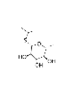 CC(C)S[C@@H]1O[C@H](C)[C@@H](O)[C@H](O)[C@H]1O